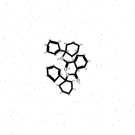 O=C(OC1(c2ccccc2)CCCCC1)c1ccccc1C(=O)OC1(c2ccccc2)CCCCC1